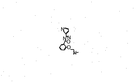 CN(C)CCOc1ccccc1-c1nc(-c2cccnc2)no1